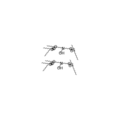 CCCCCCCCCCSC(CCCC)C(=O)OCCCCCCN(CCCCO)CCCCCCOC(CCCCCCC)O[Si](C)(C)OCC(CCCCCC)CCCCCCCC.CCCCCCCCCCSC(CCCC)C(=O)OCCCCCCN(CCCCO)CCCCCCOC(CCCCCCC)O[Si](C)(C)OCC(CCCCCC)CCCCCCCC